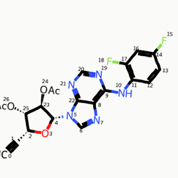 C#C[C@H]1O[C@@H](n2cnc3c(Nc4ccc(F)cc4F)ncnc32)[C@H](OC(C)=O)[C@H]1OC(C)=O